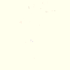 CCCCCCC(C)(C)c1ccc(C2CCCN(CC3CC3)C2)c(O)c1